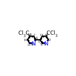 ClC(Cl)(Cl)c1cn[c]c(-c2cc(C(Cl)(Cl)Cl)ccn2)c1